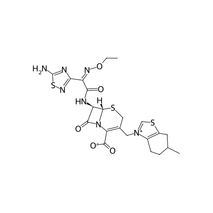 CCO/N=C(\C(=O)N[C@@H]1C(=O)N2C(C(=O)[O-])=C(C[n+]3csc4c3CCC(C)C4)CS[C@@H]12)c1nsc(N)n1